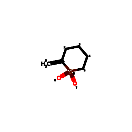 C=C1CCCCS1(=O)=O